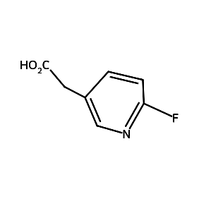 O=C(O)Cc1ccc(F)nc1